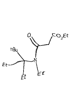 CCCCC(CC)(CC)N(CC)C(=O)CC(=O)OCC